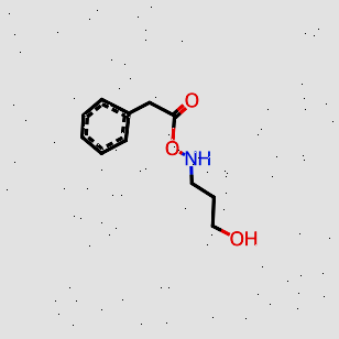 O=C(Cc1ccccc1)ONCCCO